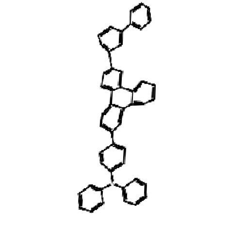 c1ccc(-c2cccc(-c3ccc4c5ccc(-c6ccc(N(c7ccccc7)c7ccccc7)cc6)cc5c5ccccc5c4c3)c2)cc1